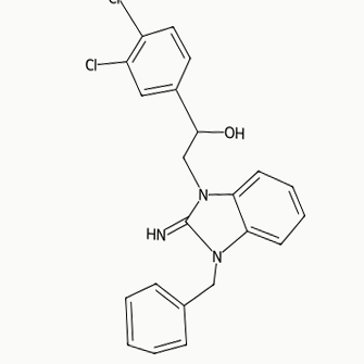 N=c1n(Cc2ccccc2)c2ccccc2n1CC(O)c1ccc(Cl)c(Cl)c1